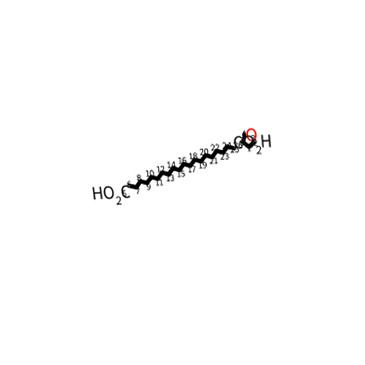 C1CCOC1.O=C(O)CCCCCCCCCCCCCCCCCCCCC(=O)O